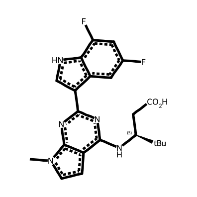 Cn1ccc2c(N[C@@H](CC(=O)O)C(C)(C)C)nc(-c3c[nH]c4c(F)cc(F)cc34)nc21